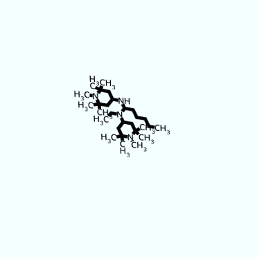 CCCCCC(NC1CC(C)(C)N(C)C(C)(C)C1)N(CC)C1CC(C)(C)N(C)C(C)(C)C1